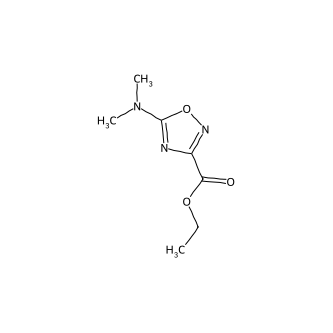 CCOC(=O)c1noc(N(C)C)n1